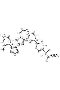 COC(=O)C(C)(C)N1CCC(c2ccc3c(c2)-c2nn(-c4ncnn4-c4ccc(F)cc4F)cc2CCO3)CC1